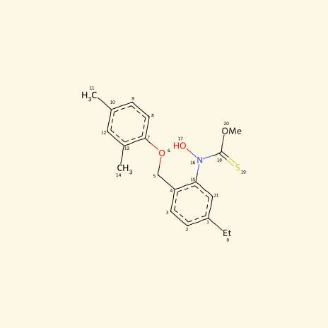 CCc1ccc(COc2ccc(C)cc2C)c(N(O)C(=S)OC)c1